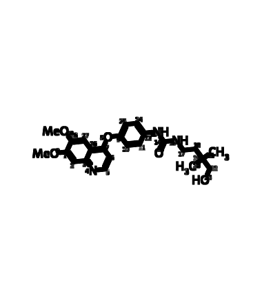 COc1cc2nccc(Oc3ccc(NC(=O)NCCC(C)(C)CO)cc3)c2cc1OC